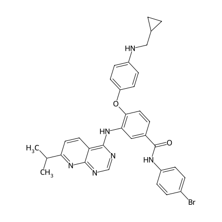 CC(C)c1ccc2c(Nc3cc(C(=O)Nc4ccc(Br)cc4)ccc3Oc3ccc(NCC4CC4)cc3)ncnc2n1